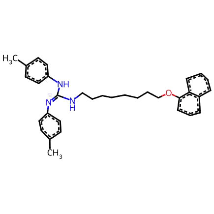 Cc1ccc(/N=C(\NCCCCCCCCOc2cccc3ccccc23)Nc2ccc(C)cc2)cc1